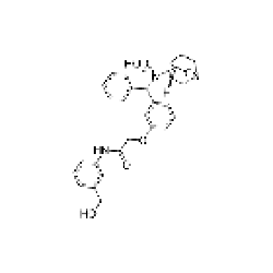 O=C(COc1cccc([C@H](c2ccccc2)N(C(=O)O)[C@H]2CN3CCC2CC3)c1)Nc1cccc(CO)c1